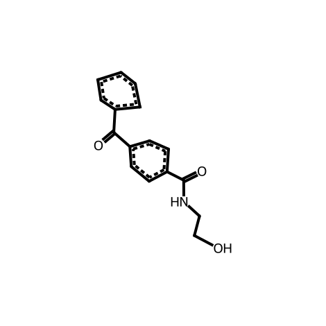 O=C(NCCO)c1ccc(C(=O)c2ccccc2)cc1